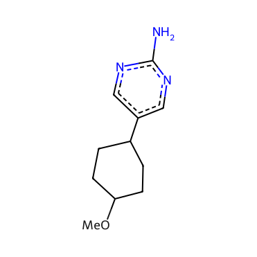 COC1CCC(c2cnc(N)nc2)CC1